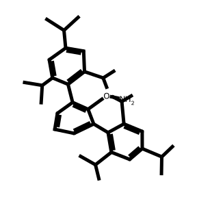 CC(C)c1cc(C(C)C)c(-c2cccc(-c3c(C(C)C)cc(C(C)C)cc3C(C)C)c2ON)c(C(C)C)c1